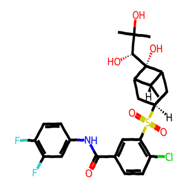 CC(C)(O)[C@@H](O)[C@]1(O)C2C[C@H](S(=O)(=O)c3cc(C(=O)Nc4ccc(F)c(F)c4)ccc3Cl)CC1[C@@H]2C